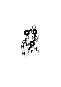 COCCOc1cccc(Cn2cc(-c3noc(-c4ccc(C(C)(C)COC)cc4)n3)ccc2=O)c1